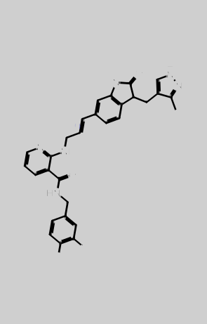 Cc1n[nH]cc1CC1C(=O)Nc2cc(/C=C/CNc3ncccc3C(=O)NCc3ccc(I)c(F)c3)ccc21